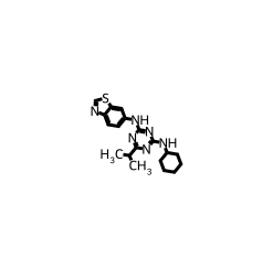 CC(C)c1nc(Nc2ccc3ncsc3c2)nc(NC2CCCCC2)n1